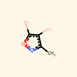 Bc1onc(C)c1B